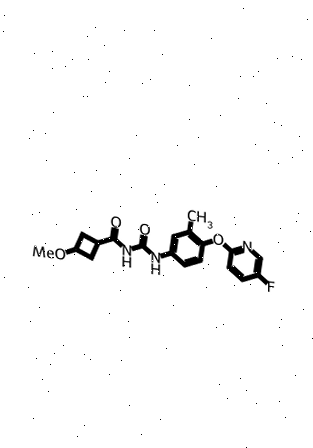 COC1CC(C(=O)NC(=O)Nc2ccc(Oc3ccc(F)cn3)c(C)c2)C1